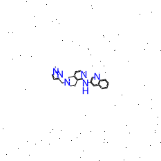 Cn1ccc(CN2CCc3c(ccnc3Nc3cnc4ccccc4c3)C2)n1